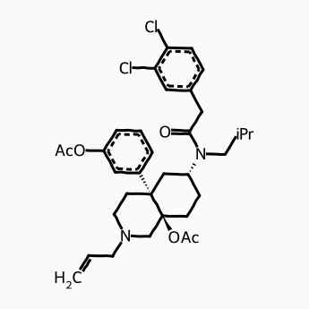 C=CCN1CC[C@@]2(c3cccc(OC(C)=O)c3)C[C@H](N(CC(C)C)C(=O)Cc3ccc(Cl)c(Cl)c3)CC[C@]2(OC(C)=O)C1